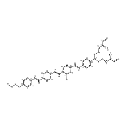 C=CC(=O)OCCN(CCOC(=O)C=C)c1ccc(N=Nc2ccc(N=Nc3ccc(N=Nc4ccc(CCCC)cc4)cc3)c(C)c2)cc1